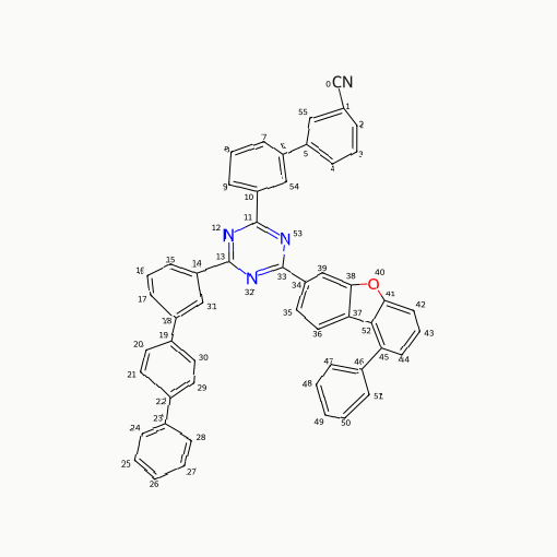 N#Cc1cccc(-c2cccc(-c3nc(-c4cccc(-c5ccc(-c6ccccc6)cc5)c4)nc(-c4ccc5c(c4)oc4cccc(-c6ccccc6)c45)n3)c2)c1